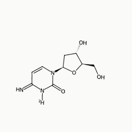 [2H]n1c(=N)ccn([C@H]2C[C@H](O)[C@@H](CO)O2)c1=O